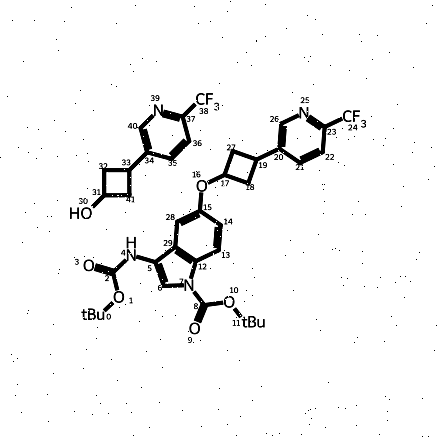 CC(C)(C)OC(=O)Nc1cn(C(=O)OC(C)(C)C)c2ccc(OC3CC(c4ccc(C(F)(F)F)nc4)C3)cc12.OC1CC(c2ccc(C(F)(F)F)nc2)C1